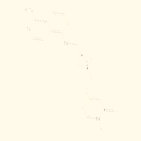 Cn1ccc(OCC23CC(CNc4cccc5c(N)nccc45)(C2)C3)cc1=O